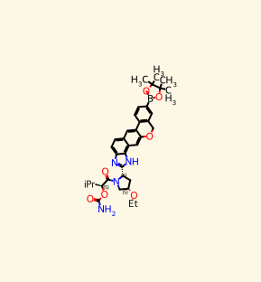 CCO[C@H]1C[C@@H](c2nc3ccc4cc5c(cc4c3[nH]2)OCc2cc(B3OC(C)(C)C(C)(C)O3)ccc2-5)N(C(=O)[C@@H](OC(N)=O)C(C)C)C1